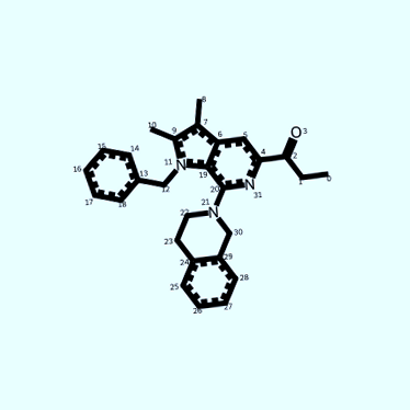 CCC(=O)c1cc2c(C)c(C)n(Cc3ccccc3)c2c(N2CCc3ccccc3C2)n1